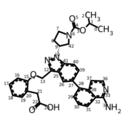 CC(C)OC(=O)N1CC[C@@H](n2nc(COc3ccccc3CC(=O)O)c3cc(-c4cccc5c(N)nccc45)ccc32)C1